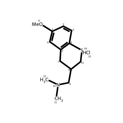 COc1ccc2c(c1)CC(CN(C)C)CS2.Cl